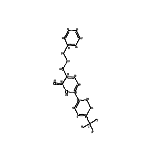 CC(C)(C)C1=CC=C(c2ccc(SCCc3ccccc3)c(=O)o2)CC1